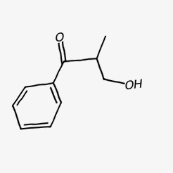 CC(CO)C(=O)c1ccccc1